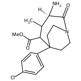 COC(=O)C1C(C)[C@@H](N)C(=O)N2CCC1(c1ccc(Cl)cc1)CC2